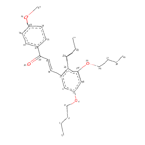 CCCCOc1cc(C=CC(=O)c2ccc(OC)cc2)c(CCC)c(OCCCC)c1